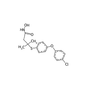 CC(C)(CC(=O)NO)Sc1ccc(Oc2ccc(Cl)cc2)cc1